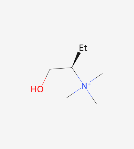 CC[C@H](CO)[N+](C)(C)C